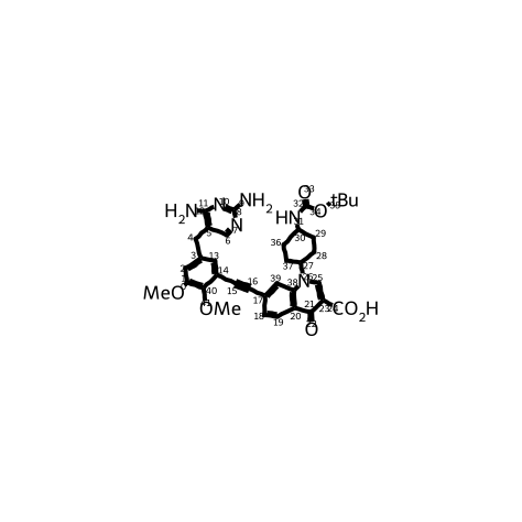 COc1cc(Cc2cnc(N)nc2N)cc(C#Cc2ccc3c(=O)c(C(=O)O)cn(C4CCC(NC(=O)OC(C)(C)C)CC4)c3c2)c1OC